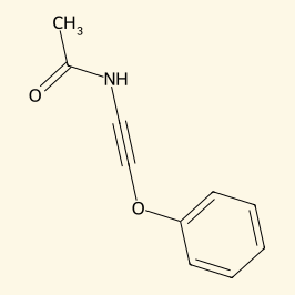 CC(=O)NC#COc1ccccc1